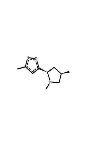 Cc1cc([C@H]2C[C@@H](C)CN2C)on1